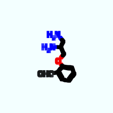 NCC(N)COc1ccccc1C=O